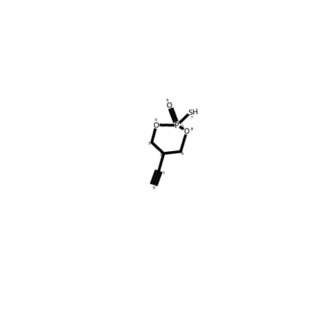 C#CC1COP(=O)(S)OC1